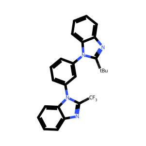 CC(C)(C)c1nc2ccccc2n1-c1cccc(-n2c(C(F)(F)F)nc3ccccc32)c1